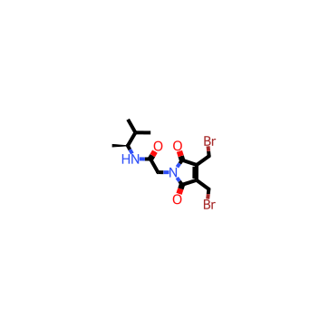 CC(C)[C@H](C)NC(=O)CN1C(=O)C(CBr)=C(CBr)C1=O